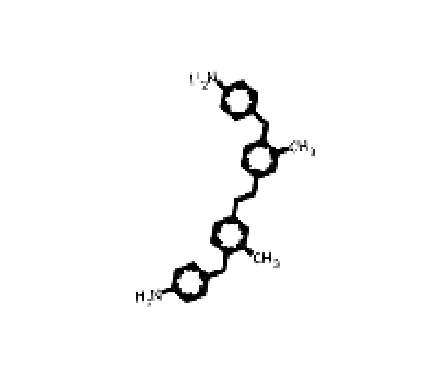 Cc1cc(CCc2ccc(Cc3ccc(N)cc3)c(C)c2)ccc1Cc1ccc(N)cc1